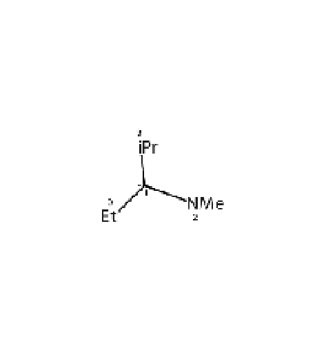 CC[C](NC)C(C)C